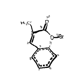 CC(=Cc1ccccc1)C(=O)OBr